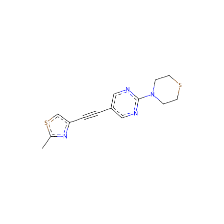 Cc1nc(C#Cc2cnc(N3CCSCC3)nc2)cs1